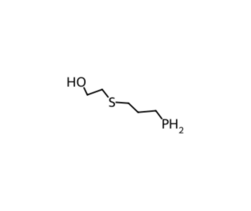 OCCSCCCP